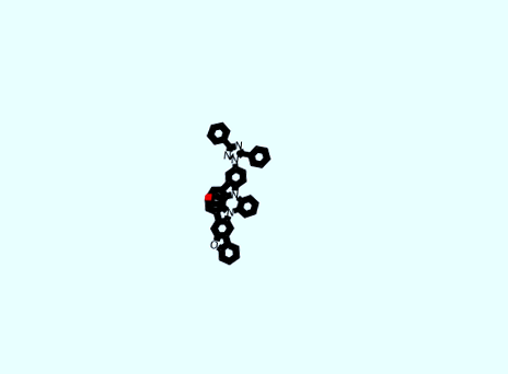 c1ccc(-c2nc(-c3ccccc3)n(-c3ccc4c(c3)c3ccccc3n4-c3ccccc3-n3c4ccccc4c4cc5oc6ccccc6c5cc43)n2)cc1